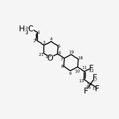 C/C=C/C1CCC(C2CCC(/C(F)=C/C(F)(F)F)CC2)OC1